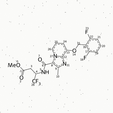 COC(=O)CC(NC(=O)c1c(C)nc2c(OCc3c(F)cccc3F)cccn12)C(F)(F)F